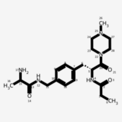 CCC(=O)N[C@H](Cc1ccc(CNC(=O)C(C)N)cc1)C(=O)N1CCN(C)CC1